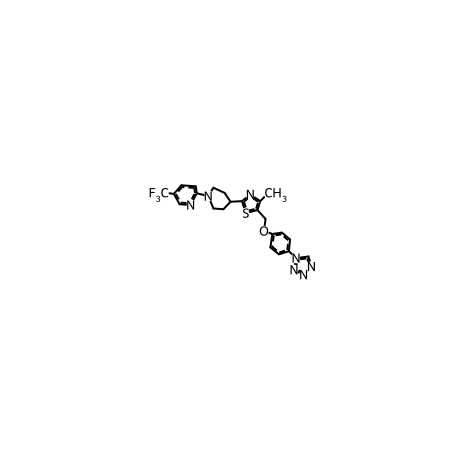 Cc1nc(C2CCN(c3ccc(C(F)(F)F)cn3)CC2)sc1COc1ccc(-n2cnnn2)cc1